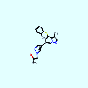 CNC(=O)Cn1cc(-c2cc(Sc3ccccc3C#N)c3c(C#N)cnn3c2)cn1